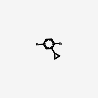 CCc1c[c]c(CC)c(C2CC2)c1